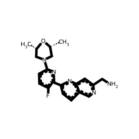 C[C@@H]1CN(c2ccc(F)c(-c3ccc4cnc(CN)cc4n3)n2)C[C@H](C)O1